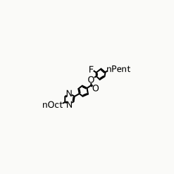 CCCCCCCCc1cnc(-c2ccc(C(=O)Oc3ccc(CCCCC)cc3F)cc2)cn1